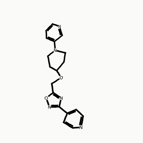 c1cncc(N2CCC(OCc3nc(-c4ccncc4)no3)CC2)c1